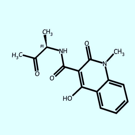 CC(=O)[C@@H](C)NC(=O)c1c(O)c2ccccc2n(C)c1=O